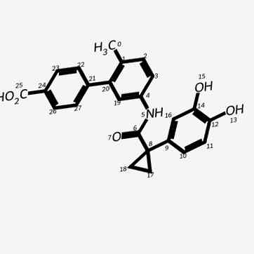 Cc1ccc(NC(=O)C2(c3ccc(O)c(O)c3)CC2)cc1-c1ccc(C(=O)O)cc1